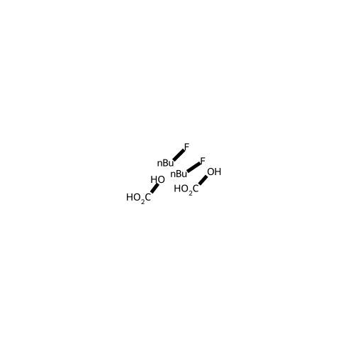 CCCCF.CCCCF.O=C(O)O.O=C(O)O